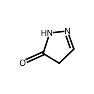 O=C1CC=NN1